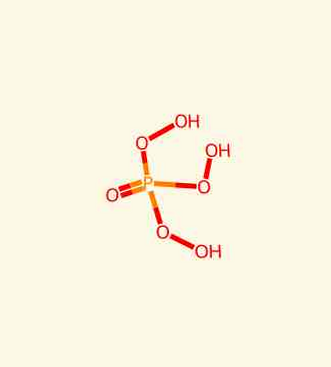 O=P(OO)(OO)OO